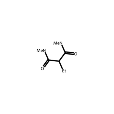 CC[C](C(=O)NC)C(=O)NC